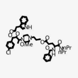 CCCN(CCC)C(=O)C(CCC(=O)OCCCN1CCN(C(C)C(OC(=O)Cc2c[nH]c3ccccc23)C(=O)c2ccc(Cl)cc2)CC1OC)NC(=O)c1ccccc1